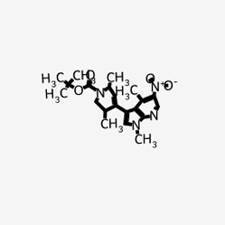 Cc1c([N+](=O)[O-])cnc2c1c(C1=CC(C)N(C(=O)OC(C)(C)C)CC1C)cn2C